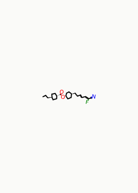 CCC[C@H]1CC[C@H](C(=O)O[C@H]2CC[C@H](CCC=CC=C(F)C#N)CC2)CC1